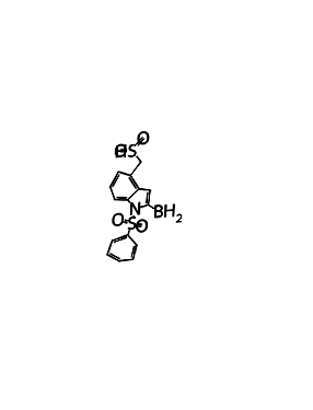 Bc1cc2c(C[SH](=O)=O)cccc2n1S(=O)(=O)c1ccccc1